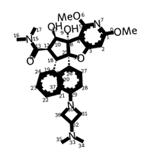 COc1cc2c(c(OC)n1)[C@]1(O)[C@H](O)[C@H](C(=O)N(C)C)[C@@H](c3ccccc3)[C@]1(c1ccc(N3CC(N(C)C)C3)cc1)O2